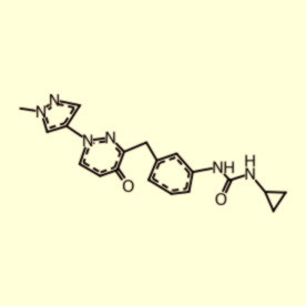 Cn1cc(-n2ccc(=O)c(Cc3cccc(NC(=O)NC4CC4)c3)n2)cn1